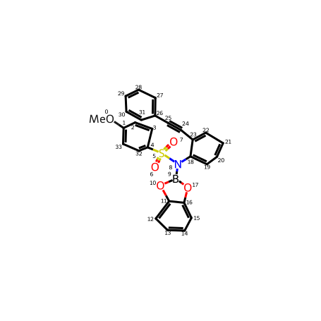 COc1ccc(S(=O)(=O)N(B2Oc3ccccc3O2)c2ccccc2C#Cc2ccccc2)cc1